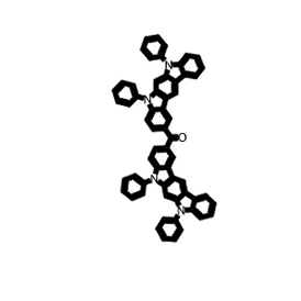 O=C(c1ccc2c(c1)c1cc3c4ccccc4n(-c4ccccc4)c3cc1n2-c1ccccc1)c1ccc2c(c1)c1cc3c4ccccc4n(-c4ccccc4)c3cc1n2-c1ccccc1